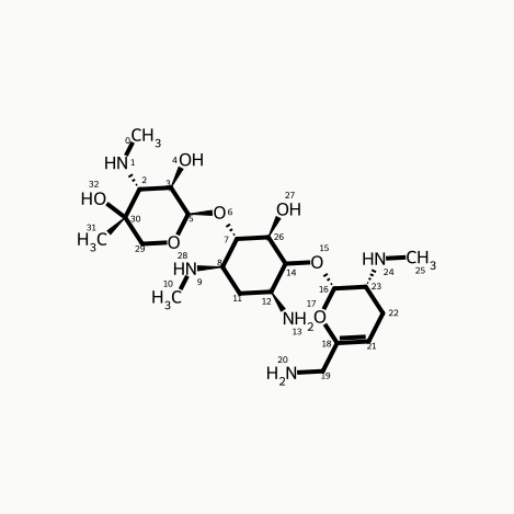 CN[C@@H]1[C@@H](O)[C@@H](O[C@H]2[C@H](NC)C[C@H](N)C(O[C@H]3OC(CN)=CC[C@H]3NC)[C@@H]2O)OC[C@]1(C)O